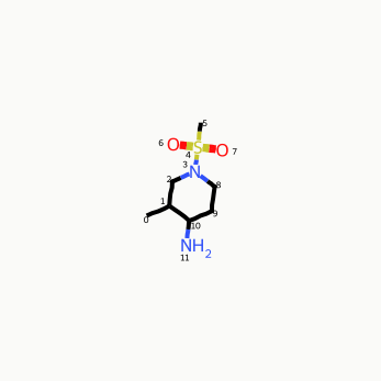 CC1CN(S(C)(=O)=O)CCC1N